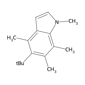 Cc1c(C(C)(C)C)c(C)c2ccn(C)c2c1C